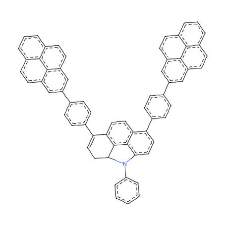 C1=C(c2ccc(-c3cc4ccc5cccc6ccc(c3)c4c56)cc2)c2ccc3c(-c4ccc(-c5cc6ccc7cccc8ccc(c5)c6c78)cc4)ccc4c3c2C(C1)N4c1ccccc1